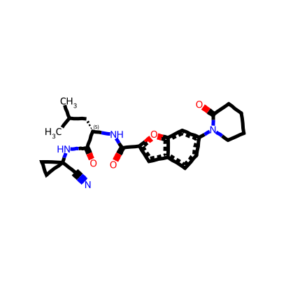 CC(C)C[C@H](NC(=O)c1cc2ccc(N3CCCCC3=O)cc2o1)C(=O)NC1(C#N)CC1